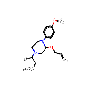 C=CCOC1CN(C(CC)CC(=O)O)CCN1c1ccc(OC(F)(F)F)cc1